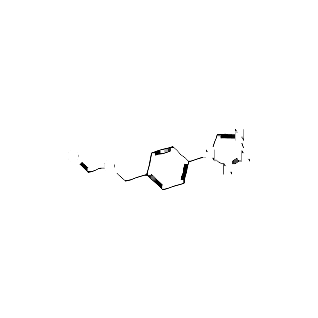 O=COCc1ccc(-n2cnnn2)cc1